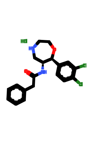 Cl.O=C(Cc1ccccc1)N[C@@H]1CNCCO[C@H]1c1ccc(Cl)c(Cl)c1